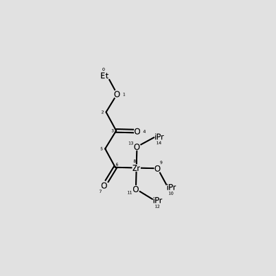 CCOCC(=O)C[C](=O)[Zr]([O]C(C)C)([O]C(C)C)[O]C(C)C